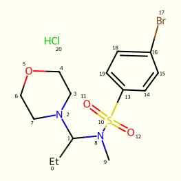 CCC(N1CCOCC1)N(C)S(=O)(=O)c1ccc(Br)cc1.Cl